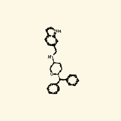 c1ccc(C(c2ccccc2)[C@@H]2CC[C@H](NCc3ccc4cc[nH]c4c3)CO2)cc1